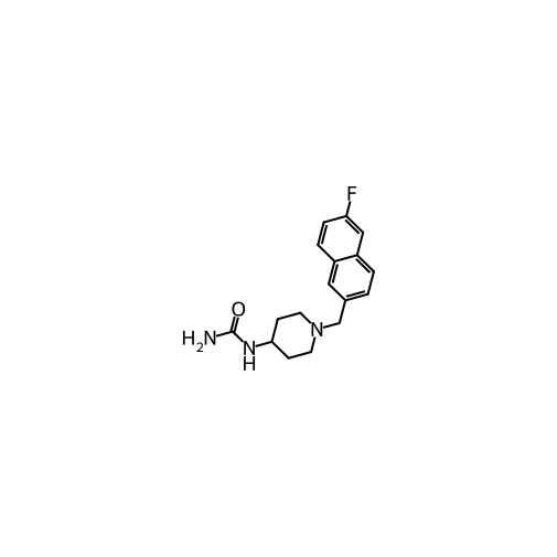 NC(=O)NC1CCN(Cc2ccc3cc(F)ccc3c2)CC1